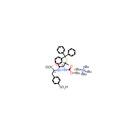 CC(C)(C)OC(=O)N[C@H](C(=O)N[C@@H](Cc1ccc(S(=O)(=O)O)cc1)C(=O)[O-])C(C)(C)SC(c1ccccc1)(c1ccccc1)c1ccccc1.CCCC[N+](CCCC)(CCCC)CCCC